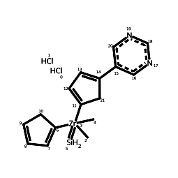 Cl.Cl.[CH3][Zr]([CH3])(=[SiH2])([C]1=CC=CC1)[C]1=CC=C(c2cncnc2)C1